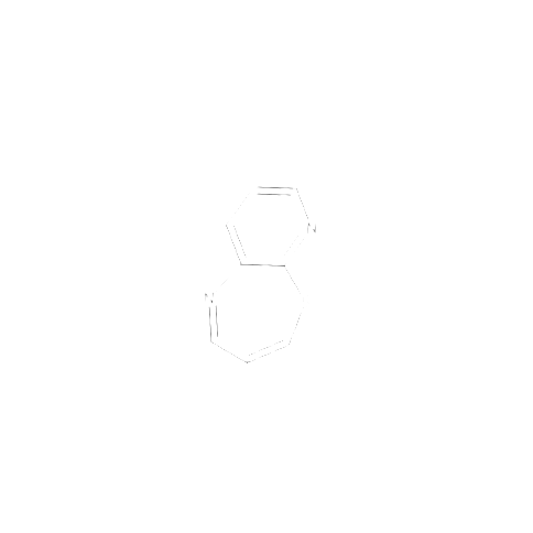 C1=CSc2ncccc2N=C1